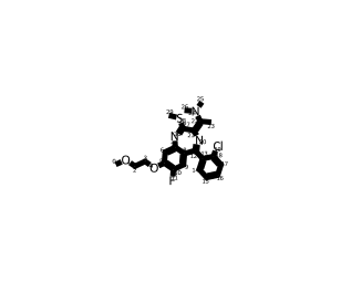 COCCOc1cc2c(cc1F)C(c1ccccc1Cl)=NC(=C(C)N(C)C)C(SC)=N2